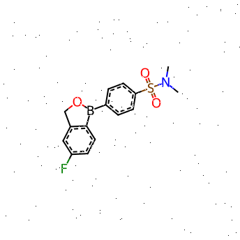 CN(C)S(=O)(=O)c1ccc(B2OCc3cc(F)ccc32)cc1